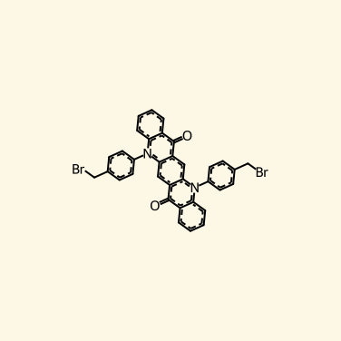 O=c1c2ccccc2n(-c2ccc(CBr)cc2)c2cc3c(=O)c4ccccc4n(-c4ccc(CBr)cc4)c3cc12